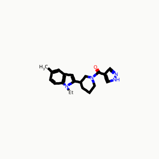 CCn1c(C2CCCN(C(=O)c3cn[nH]c3)C2)cc2cc(C)ccc21